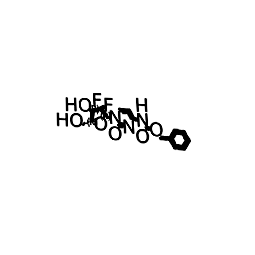 O=C(Nc1ccn([C@@H]2O[C@H](CO)[C@@H](O)C2(F)F)c(=O)n1)OCc1ccccc1